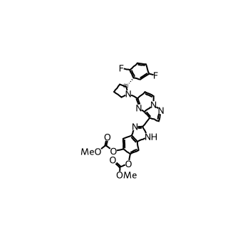 COC(=O)Oc1cc2nc(-c3cnn4ccc(N5CCC[C@@H]5c5cc(F)ccc5F)nc34)[nH]c2cc1OC(=O)OC